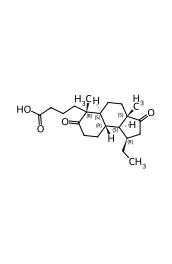 CC[C@@H]1CC(=O)[C@@]2(C)CC[C@H]3[C@@H](CCC(=O)[C@]3(C)CCCC(=O)O)[C@H]12